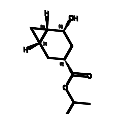 CC(C)OC(=O)[C@@H]1C[C@@H]2C[C@@H]2[C@H](O)C1